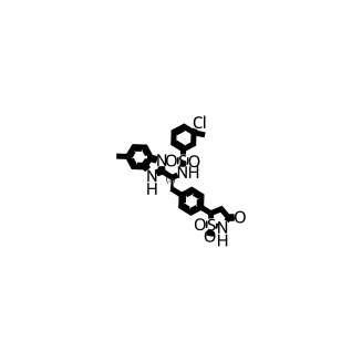 Cc1ccc2nc([C@H](Cc3ccc(C4CC(=O)NS4(=O)=O)cc3)NS(=O)(=O)C3=CC=CC(C)(Cl)C3)[nH]c2c1